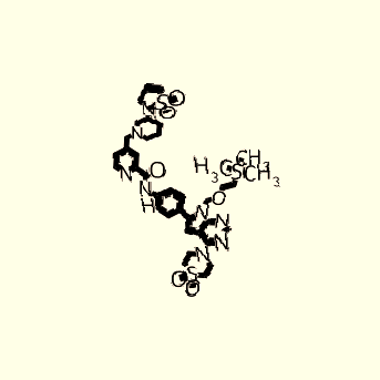 C[Si](C)(C)CCOCn1c(-c2ccc(NC(=O)c3cc(CN4CCC[C@@H](N5CC=CS5(=O)=O)C4)ccn3)cc2)cc2c(N3CCS(=O)(=O)CC3)ncnc21